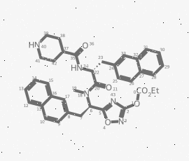 CCOC(=O)Oc1noc([C@@H](Cc2ccc3ccccc3c2)N(C)C(=O)[C@@H](Cc2ccc3ccccc3c2)NC(=O)C2CCNCC2)n1